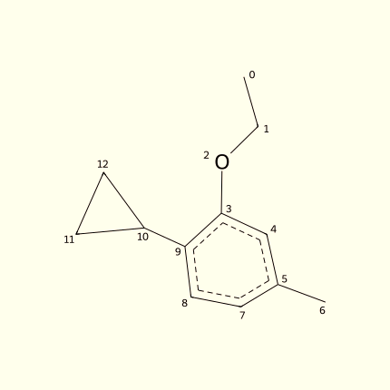 CCOc1cc(C)ccc1C1CC1